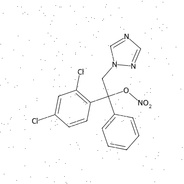 O=[N+]([O-])OC(Cn1cncn1)(c1ccccc1)c1ccc(Cl)cc1Cl